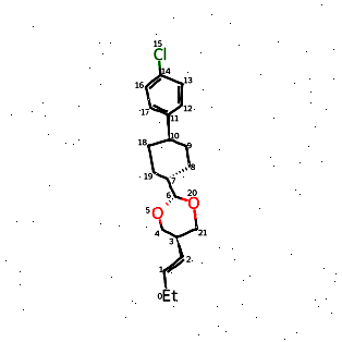 CCC=C[C@H]1CO[C@H]([C@H]2CC[C@H](c3ccc(Cl)cc3)CC2)OC1